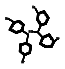 Brc1ccc(Cc2ccc(Br)cc2)cc1.OC(c1cccc(Br)c1)c1cccc(Br)c1